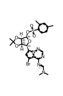 Cc1ccc(S(=O)(=O)O[C@H]2O[C@@H](c3cc(Br)c4c(/N=C/N(C)C)ncnn34)[C@@H]3OC(C)(C)O[C@@H]23)c(C)c1